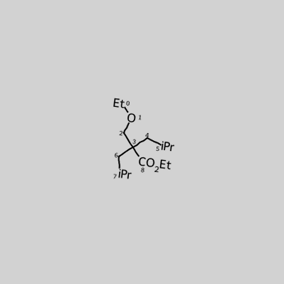 CCOCC(CC(C)C)(CC(C)C)C(=O)OCC